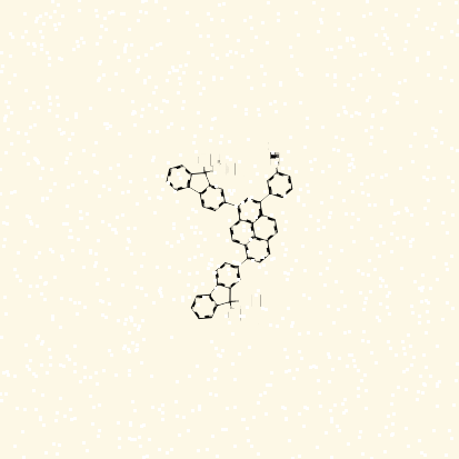 [C-]#[N+]c1cccc(-c2cc(-c3ccc4c(c3)C(C)(C)c3ccccc3-4)c3ccc4c(-c5ccc6c(c5)C(C)(C)c5ccccc5-6)ccc5ccc2c3c54)c1